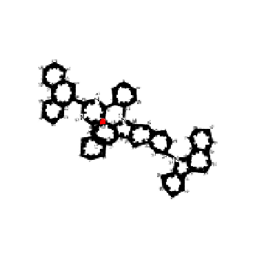 c1ccc(-c2nc(-c3ccccc3-n3c4ccccc4c4cc5cc(-n6c7ccccc7c7ccc8ccccc8c76)ccc5cc43)nc(-c3cc4ccccc4c4ccccc34)n2)cc1